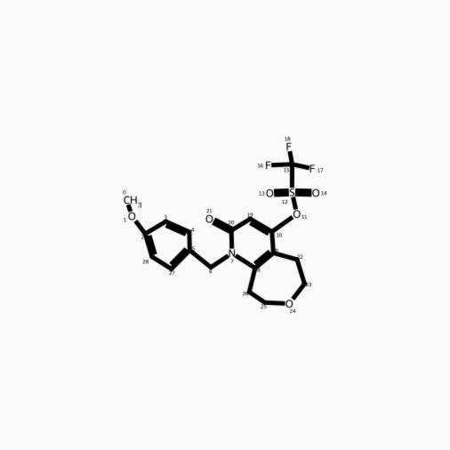 COc1ccc(Cn2c3c(c(OS(=O)(=O)C(F)(F)F)cc2=O)CCOCC3)cc1